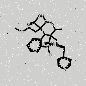 COCCC1(C(=O)O)C(C)NC(C)C(C/C=C/c2ccncc2)(C(=O)O)C1c1ccccc1[N+](=O)[O-]